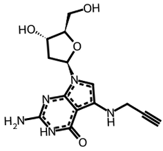 C#CCNc1cn([C@H]2C[C@H](O)[C@@H](CO)O2)c2nc(N)[nH]c(=O)c12